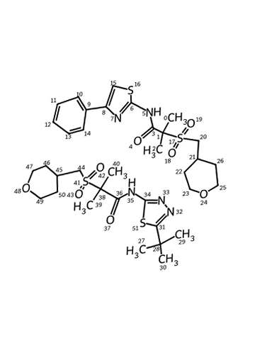 CC(C)(C(=O)Nc1nc(-c2ccccc2)cs1)S(=O)(=O)CC1CCOCC1.CC(C)(C)c1nnc(NC(=O)C(C)(C)S(=O)(=O)CC2CCOCC2)s1